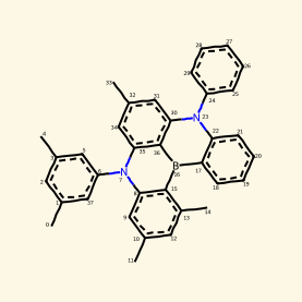 Cc1cc(C)cc(N2c3cc(C)cc(C)c3B3c4ccccc4N(c4ccccc4)c4cc(C)cc2c43)c1